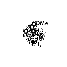 COc1ccc(CN(Cc2ccc(OC)cc2)S(=O)(=O)c2cc(OC[C@@H]3CC[C@@H]3OS(C)(=O)=O)c(NC[C@H]3COCCO3)c([N+](=O)[O-])c2)cc1